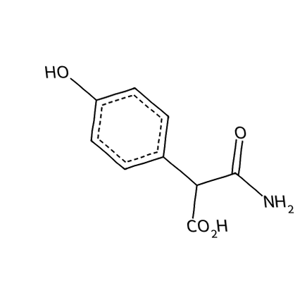 NC(=O)C(C(=O)O)c1ccc(O)cc1